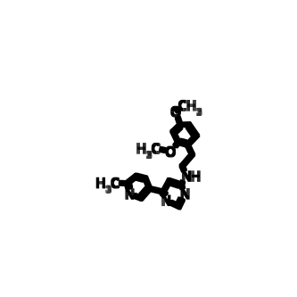 COc1ccc(CCNc2cc(-c3ccc(C)nc3)ncn2)c(OC)c1